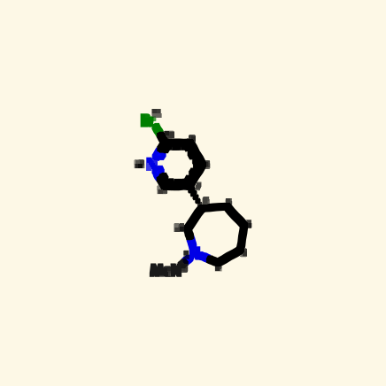 CNN1CCCC[C@@H](c2ccc(Br)nc2)C1